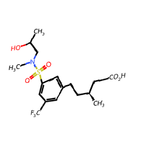 CC(O)CN(C)S(=O)(=O)c1cc(CC[C@H](C)CC(=O)O)cc(C(F)(F)F)c1